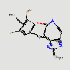 CNc1nc2cc[nH]c(=O)c(Cc3cc(Br)c(OC)c(Br)c3)c-2n1